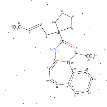 O=C(O)C=CCC1(C(=O)NC2=CC=Cc3ccccc3N2CC(=O)O)CCCC1